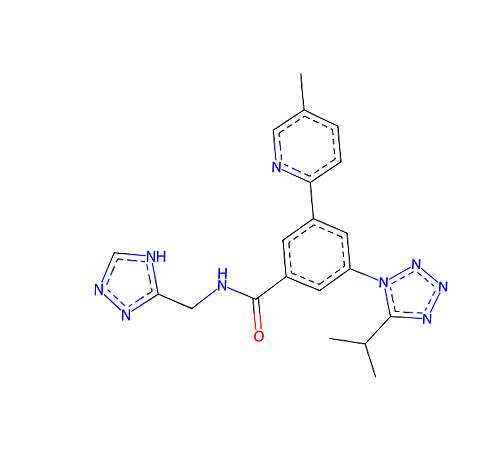 Cc1ccc(-c2cc(C(=O)NCc3nnc[nH]3)cc(-n3nnnc3C(C)C)c2)nc1